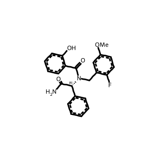 COc1ccc(F)c(CN(C(=O)c2ccccc2O)[C@@H](C(N)=O)c2ccccc2)c1